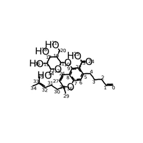 C=CCCCc1cc2c(c(OC3O[C@H](O)[C@@H](O)[C@H](O)[C@H]3CO)c1C(=O)O)C=CC(C)(CCC=C(C)C)O2